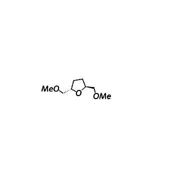 COC[C@@H]1CC[C@@H](COC)O1